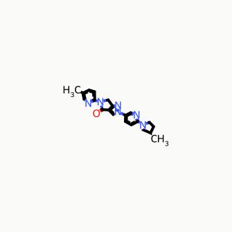 Cc1ccc(N2Cc3nn(-c4ccc(N5CC[C@H](C)C5)nc4)cc3C2=O)nc1